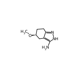 CO[C@H]1CCc2n[nH]c(N)c2C1